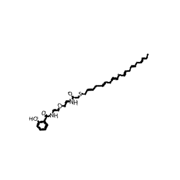 CCC=CCC=CCC=CCC=CCC=CCC=CCSCC(=O)NCCOCCNC(=O)c1ccccc1O